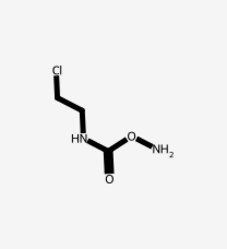 NOC(=O)NCCCl